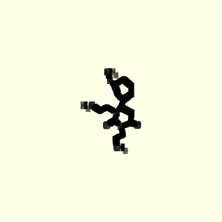 C=CCn1c(-c2cccc(SC)c2)cc(=O)n(CC=C)c1=O